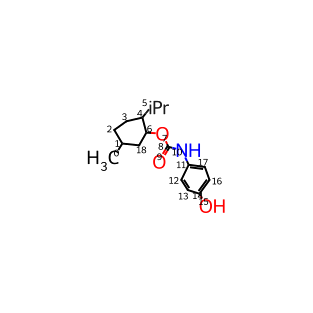 CC1CCC(C(C)C)C(OC(=O)Nc2ccc(O)cc2)C1